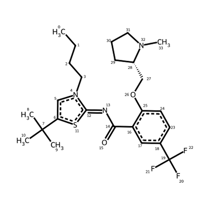 CCCCn1cc(C(C)(C)C)sc1=NC(=O)c1cc(C(F)(F)F)ccc1OC[C@@H]1CCCN1C